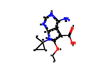 CCOc1c(C(=O)O)c2c(N)ncnc2n1C1(C)CC1